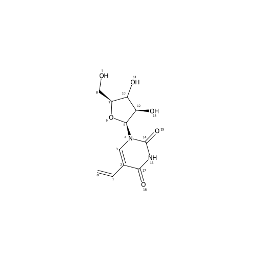 C=Cc1cn([C@H]2O[C@@H](CO)C(O)[C@H]2O)c(=O)[nH]c1=O